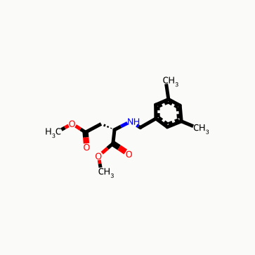 COC(=O)C[C@H](NCc1cc(C)cc(C)c1)C(=O)OC